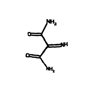 N=C(C(N)=O)C(N)=O